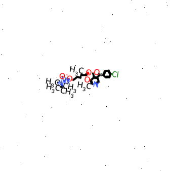 Cc1ncc2c(c1OC(=O)C(C)CCCO/N=[N+](\[O-])N(C)C(C)(C)C)CO[C@H]2c1ccc(Cl)cc1